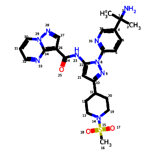 CC(C)(N)c1ccc(-n2nc(C3CCN(S(C)(=O)=O)CC3)cc2NC(=O)c2cnn3cccnc23)nc1